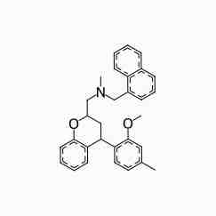 COc1cc(C)ccc1C1CC(CN(C)Cc2cccc3ccccc23)Oc2ccccc21